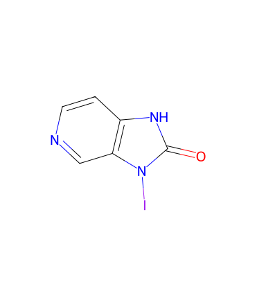 O=c1[nH]c2ccncc2n1I